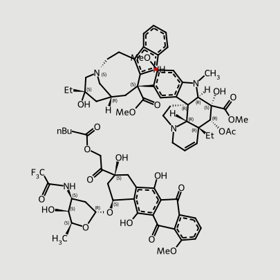 CCCCC(=O)OCC(=O)[C@]1(O)Cc2c(O)c3c(c(O)c2[C@@H](O[C@H]2C[C@H](NC(=O)C(F)(F)F)[C@H](O)[C@H](C)O2)C1)C(=O)c1c(OC)cccc1C3=O.CC[C@]1(O)C[C@@H]2C[N@@](CCc3c([nH]c4ccccc34)[C@@](C(=O)OC)(c3cc4c(cc3OC)N(C)[C@H]3[C@@](O)(C(=O)OC)[C@H](OC(C)=O)[C@]5(CC)C=CCN6CC[C@]43[C@@H]65)C2)C1